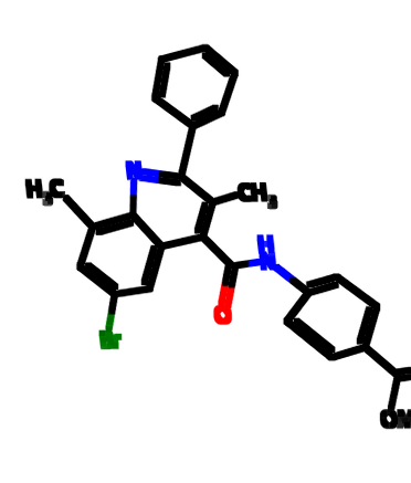 COC(=O)c1ccc(NC(=O)c2c(C)c(-c3ccccc3)nc3c(C)cc(Br)cc23)cc1